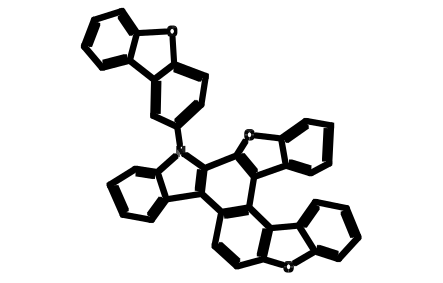 c1ccc2c(c1)oc1ccc(-n3c4ccccc4c4c5ccc6oc7ccccc7c6c5c5c6ccccc6oc5c43)cc12